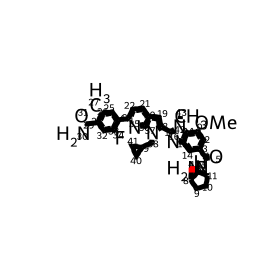 COc1cc(C(=O)N2CC3CCC2[C@@H]3N)cc2nc(-c3cc4ccc(-c5cc(C)c(C(N)=O)cc5F)nc4n3CC3CC3)n(C)c12